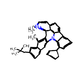 Cc1c2cc(CC(C)(C)C)ccc2cc2c1c1c3c(ccc4c5cccc(C6CCCC6)c5n2c43)cc[n+]1C